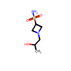 CC(O)CN1CC(S(N)(=O)=O)C1